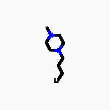 [Li][CH2]CCN1CCN(C)CC1